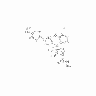 CC(C)Nc1ccc(-c2ccc3c(n2)Oc2c(F)cccc2[C@@H]3C(C)(C)C(=O)NC(=O)NC(C)(C)C)cn1